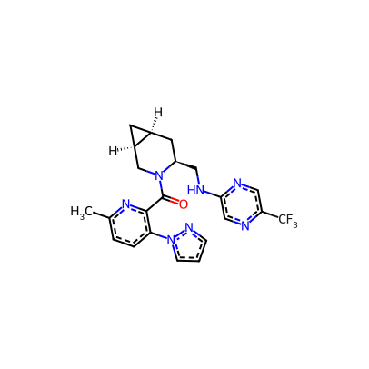 Cc1ccc(-n2cccn2)c(C(=O)N2C[C@H]3C[C@H]3C[C@H]2CNc2cnc(C(F)(F)F)cn2)n1